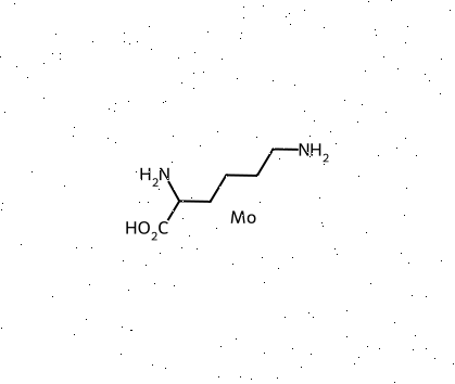 NCCCCC(N)C(=O)O.[Mo]